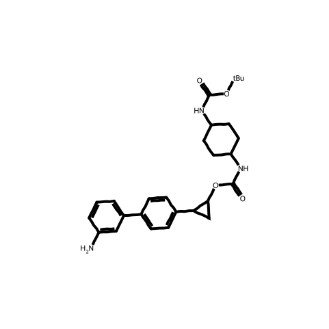 CC(C)(C)OC(=O)NC1CCC(NC(=O)OC2CC2c2ccc(-c3cccc(N)c3)cc2)CC1